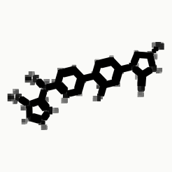 CC[C@H]1CN(c2ccc(-c3ccc(N(C)c4nnnn4C)nc3)c(F)c2)C(=O)O1